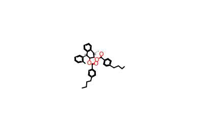 CCCCc1ccc(C(=O)OC2C(OC(=O)c3ccc(CCCC)cc3)[C@@H](C)c3ccccc3[C@@H]2c2ccccc2C)cc1